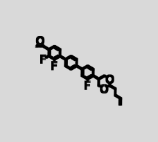 C=CCCC1OCC(c2ccc(-c3ccc(-c4ccc(C5CO5)c(F)c4F)cc3)cc2F)CO1